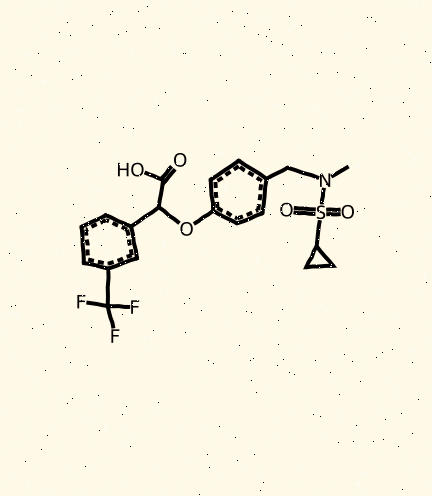 CN(Cc1ccc(OC(C(=O)O)c2cccc(C(F)(F)F)c2)cc1)S(=O)(=O)C1CC1